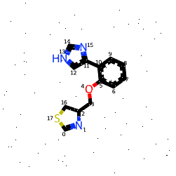 C1=NC(COc2ccccc2-c2c[nH]cn2)CS1